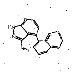 Nc1n[nH]c2nccc(-c3cccc4ccccc34)c12